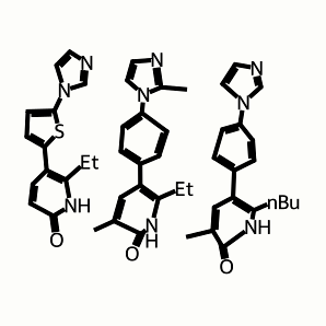 CCCCc1[nH]c(=O)c(C)cc1-c1ccc(-n2ccnc2)cc1.CCc1[nH]c(=O)c(C)cc1-c1ccc(-n2ccnc2C)cc1.CCc1[nH]c(=O)ccc1-c1ccc(-n2ccnc2)s1